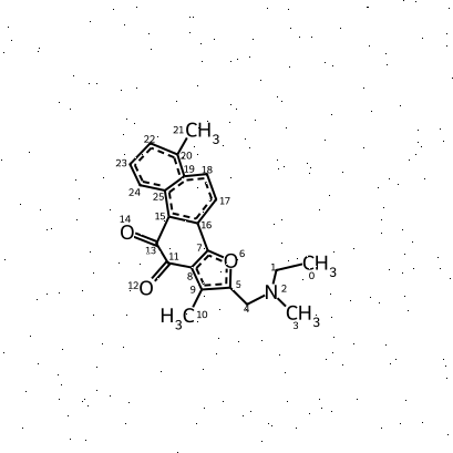 CCN(C)Cc1oc2c(c1C)C(=O)C(=O)c1c-2ccc2c(C)cccc12